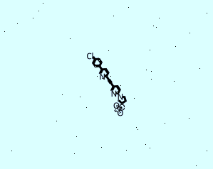 CS(=O)(=O)OC1CCN(c2ccc(C#Cc3ccc(-c4ccc(Cl)cc4)cn3)cn2)C1